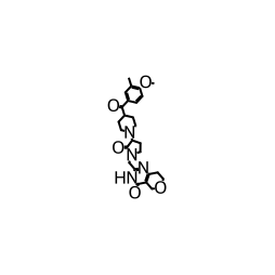 COc1ccc(C(=O)C2CCN(C3CCN(Cc4nc5c(c(=O)[nH]4)COCC5)C3=O)CC2)cc1C